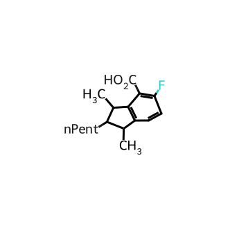 CCCCCC1C(C)c2ccc(F)c(C(=O)O)c2C1C